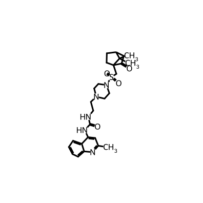 Cc1cc(NC(=O)NCCN2CCN(S(=O)(=O)CC34CCC(CC3=O)C4(C)C)CC2)c2ccccc2n1